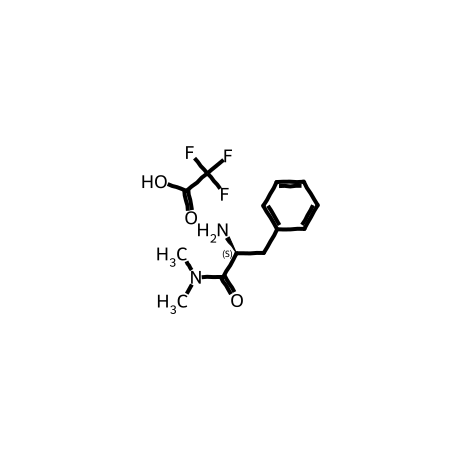 CN(C)C(=O)[C@@H](N)Cc1ccccc1.O=C(O)C(F)(F)F